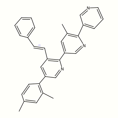 Cc1ccc(-c2cnc(-c3cnc(-c4cccnc4)c(C)c3)c(/C=C/c3ccccc3)c2)c(C)c1